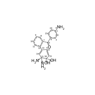 Nc1ccc(C(=O)c2ccccc2C2=CC(N)(N)C(O)(O)C=C2)cc1